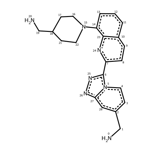 NCc1ccn2c(-c3ccc4cccc(N5CCC(CN)CC5)c4n3)nnc2c1